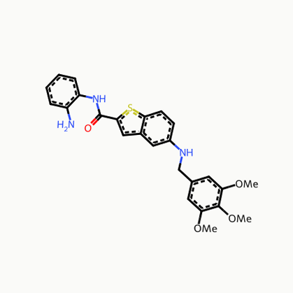 COc1cc(CNc2ccc3sc(C(=O)Nc4ccccc4N)cc3c2)cc(OC)c1OC